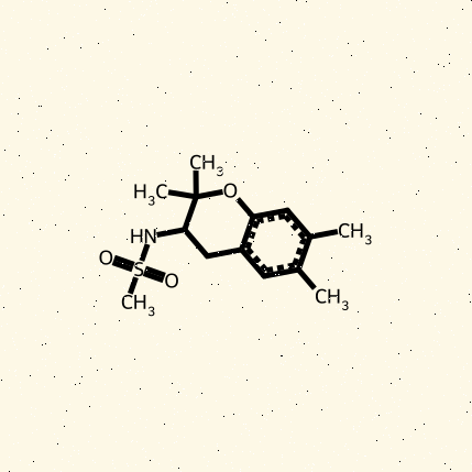 Cc1cc2c(cc1C)OC(C)(C)C(NS(C)(=O)=O)C2